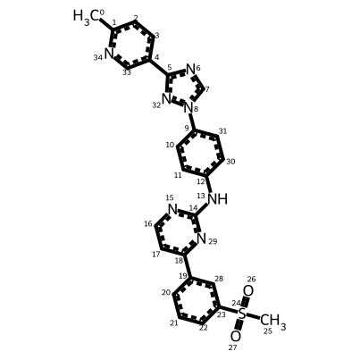 Cc1ccc(-c2ncn(-c3ccc(Nc4nccc(-c5cccc(S(C)(=O)=O)c5)n4)cc3)n2)cn1